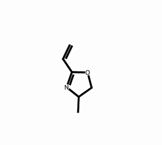 C=CC1=NC(C)CO1